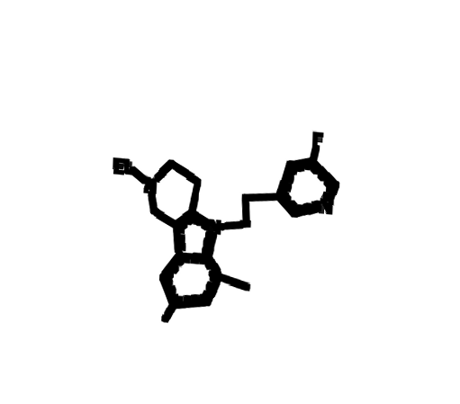 CCN1CCc2c(c3cc(C)cc(C)c3n2CCc2cncc(F)c2)C1